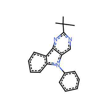 CC(C)(C)c1ncc2c(n1)c1ccccc1n2-c1ccccc1